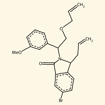 C=CCOCC(c1cccc(OC)c1)N1C(=O)c2cc(Br)ccc2C1CC=C